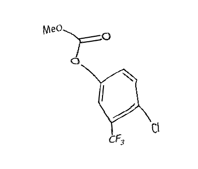 COC(=O)Oc1ccc(Cl)c(C(F)(F)F)c1